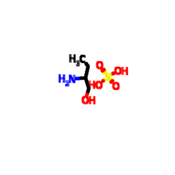 CCC(N)CO.O=S(=O)(O)O